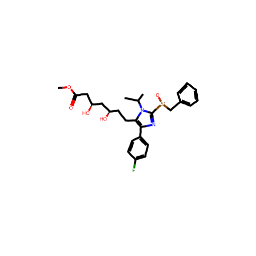 COC(=O)C[C@H](O)C[C@H](O)CCc1c(-c2ccc(F)cc2)nc([S+]([O-])Cc2ccccc2)n1C(C)C